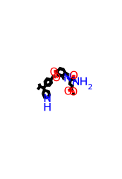 COC(=O)CCC(C(N)=O)N1C=C2C=CC(=O)C(OCc3ccc(C(C(C)C)C4CCNCC4)cc3)=C2C1